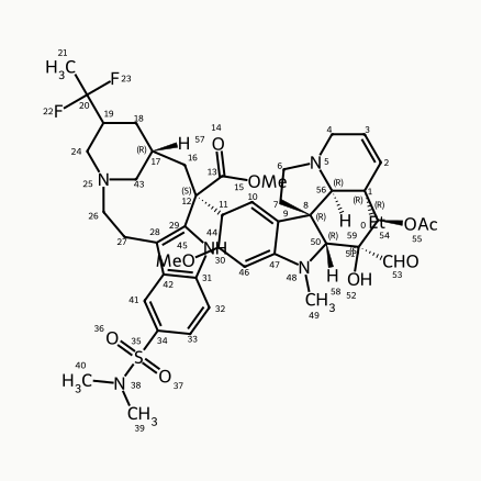 CC[C@]12C=CCN3CC[C@@]4(C5=CC([C@@]6(C(=O)OC)C[C@H]7CC(C(C)(F)F)CN(CCc8c6[nH]c6ccc(S(=O)(=O)N(C)C)cc86)C7)C(OC)C=C5N(C)[C@H]4[C@@](O)(C=O)[C@@H]1OC(C)=O)[C@@H]32